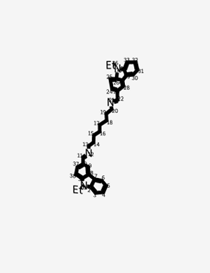 CCn1c2ccccc2c2cc(C=NCCCCCCCC/N=C/c3ccc4c(c3)c3ccccc3n4CC)ccc21